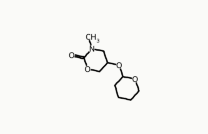 CN1CC(OC2CCCCO2)COC1=O